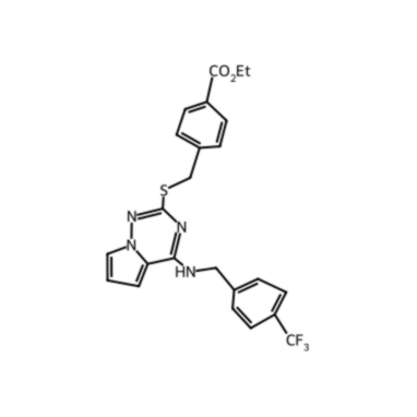 CCOC(=O)c1ccc(CSc2nc(NCc3ccc(C(F)(F)F)cc3)c3cccn3n2)cc1